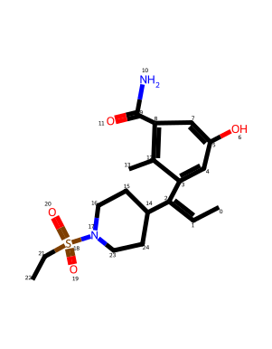 C/C=C(\c1cc(O)cc(C(N)=O)c1C)C1CCN(S(=O)(=O)CC)CC1